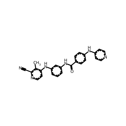 Cc1c(Nc2cccc(NC(=O)c3ccc(Nc4ccncc4)cc3)c2)ccnc1C#N